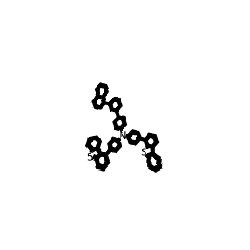 c1cc(-c2ccc(N(c3ccc(-c4cccc5c4sc4ccccc45)cc3)c3ccc(-c4cccc5sc6ccccc6c45)cc3)cc2)cc(-c2cccc3ccccc23)c1